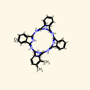 Cc1ccc2c3nc4nc(nc5[nH]c(nc6nc(nc([nH]3)c2c1C)-c1ccccc1-6)c1ccccc51)-c1ccccc1-4.[Cu]